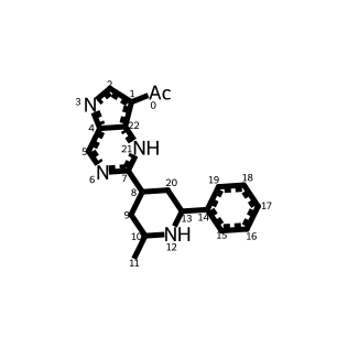 CC(=O)c1cnc2cnc(C3CC(C)NC(c4ccccc4)C3)[nH]c1-2